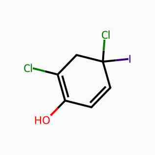 OC1=C(Cl)CC(Cl)(I)C=C1